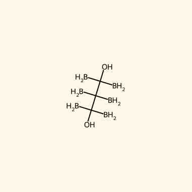 BC(B)(O)C(B)(B)C(B)(B)O